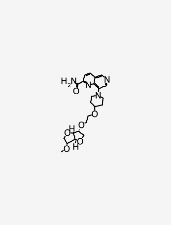 CO[C@@H]1CO[C@H]2[C@@H]1OC[C@H]2OCCOC1CCN(c2cncc3ccc(C(N)=O)nc23)CC1